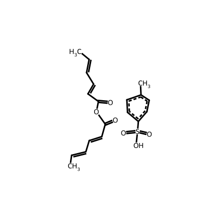 CC=CC=CC(=O)OC(=O)C=CC=CC.Cc1ccc(S(=O)(=O)O)cc1